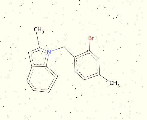 Cc1ccc(Cn2c(C)cc3ccccc32)c(Br)c1